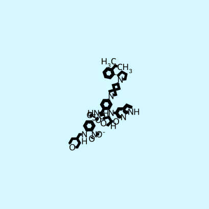 CC(C)c1ccccc1[C@@H]1CCCN1C1CC2(C1)CN(c1ccc(C(=O)NS(=O)(=O)c3ccc(NCC4CCOCC4)c([N+](=O)[O-])c3)c(N3c4cc5cc[nH]c5nc4O[C@@H]4COC[C@H]43)c1)C2